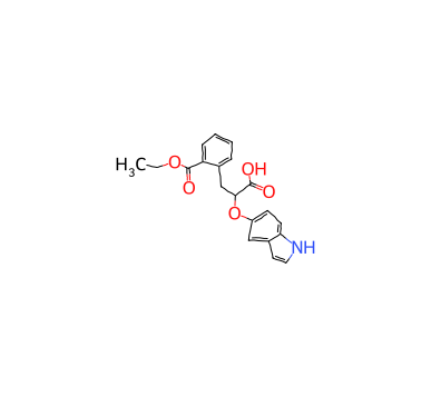 CCOC(=O)c1ccccc1CC(Oc1ccc2[nH]ccc2c1)C(=O)O